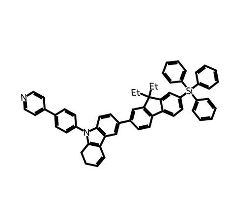 CCC1(CC)c2cc(-c3ccc4c(c3)c3c(n4-c4ccc(-c5ccncc5)cc4)CCC=C3)ccc2-c2ccc([Si](c3ccccc3)(c3ccccc3)c3ccccc3)cc21